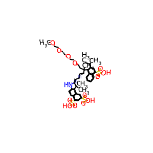 CCC(C)c1cc(S(=O)(=O)O)c2ccccc2c1C(C)(C/C=C/C=C1/Nc2ccc3c(S(=O)(=O)O)cc(S(=O)(=O)O)cc3c2C1(C)C)CCOCCOCCOCCOC